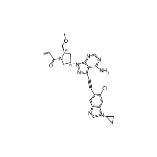 C=CC(=O)N1C[C@@H](n2nc(C#Cc3cc4ncn(C5CC5)c4cc3Cl)c3c(N)ncnc32)C[C@@H]1COC